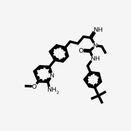 CCN(C(=N)CCCc1ccc(-c2ccc(OC)c(N)n2)cc1)C(=O)NCc1ccc(C(C)(C)C)cc1